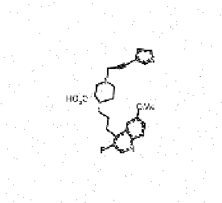 COc1ccc2ncc(F)c(CCC[C@H]3CCN(CC#Cc4ccsc4)C[C@H]3C(=O)O)c2c1